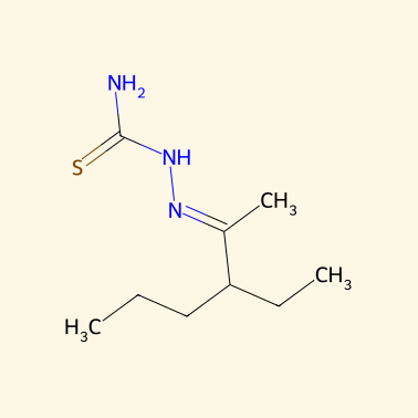 CCCC(CC)C(C)=NNC(N)=S